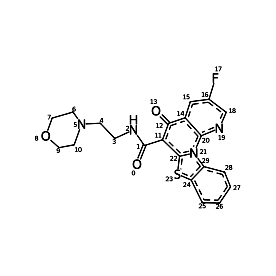 O=C(NCCN1CCOCC1)c1c(=O)c2cc(F)cnc2n2c1sc1ccccc12